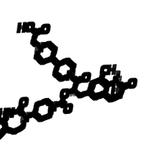 Cc1cc(C[C@@H](OC(=O)N2CCC(N3CCc4ccccc4NC3=O)CC2)C(=O)N2CCC(C3CCN(CC(=O)O)CC3)CC2)cc2ccc(=O)[nH]c12